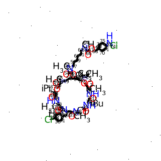 C/C=C(\C)[C@H]1OC(=O)[C@@H](C)NC(=O)[C@H](C(C)CC)NC(=O)CN(C)C(=O)[C@@H](Cc2ccc(Cl)cc2)N(C)C(=O)[C@H](C)NC(=O)[C@@H](CC(C)C)OC(=O)/C(C)=C/C[C@H](OC(=O)N(C)CCCCCCN(C)C(=O)OCc2ccc(NCl)cc2)[C@@H]1C